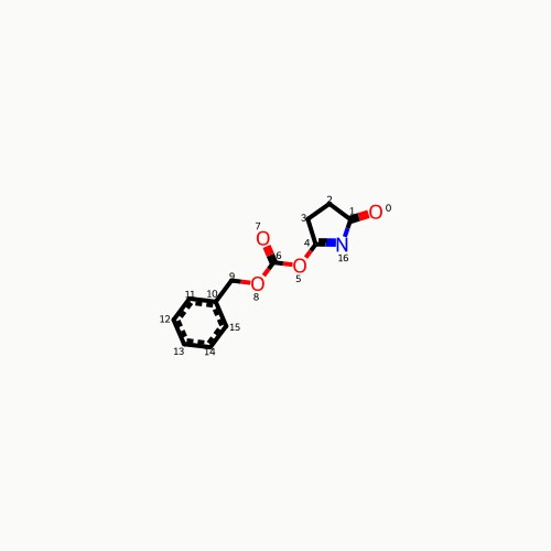 O=C1CCC(OC(=O)OCc2ccccc2)=N1